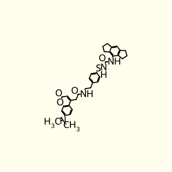 CN(C)c1ccc2c(CC(=O)NCCc3ccc(SNC(=O)Nc4c5c(cc6c4CCC6)CCC5)cc3)cc(=O)oc2c1